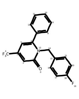 O=c1cc(C(F)(F)F)cc(-c2ccccc2)n1Cc1ccc(F)cc1